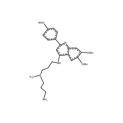 COc1ccc(-c2cc(NCCCN(C)CCCN)c3cc(OC)c(OC)cc3n2)cc1